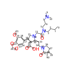 CCCCN(CCCN(C)C)C(=O)CN1C[C@H](c2cc(OC)c3c(c2)OCO3)[C@@H](C(=O)O)[C@@H]1CCN1CCC(C)(C)C1=O